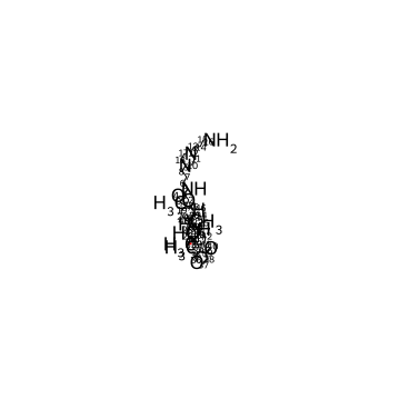 C[C@]1(OC(=O)NCCCN2CCN(CCCN)CC2)CC[C@@]2(C)[C@H](CC[C@@H]3[C@@H]2CC[C@]2(C)[C@@](C)(c4coccc4=O)CC[C@]32O)C1